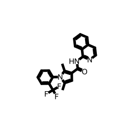 Cc1cc(C(=O)Nc2nccc3ccccc23)c(C)n1-c1ccccc1C(F)(F)F